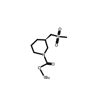 CC(C)(C)OC(=O)N1CCC[C@@H](CS(C)(=O)=O)C1